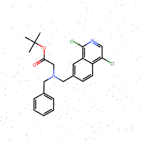 CC(C)(C)OC(=O)CN(Cc1ccccc1)Cc1ccc2c(Cl)cnc(Cl)c2c1